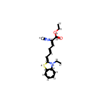 [C-]#[N+]C(=CC=CC=C1Sc2ccccc2N1CC)C(=O)OCC